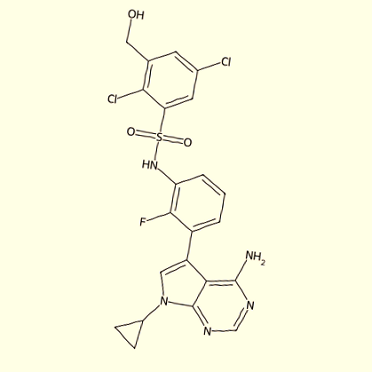 Nc1ncnc2c1c(-c1cccc(NS(=O)(=O)c3cc(Cl)cc(CO)c3Cl)c1F)cn2C1CC1